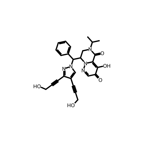 CC(C)N1CC(C(c2ccccc2)n2cc(C#CCO)c(C#CCO)n2)n2ncc(=O)c(O)c2C1=O